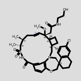 CO[C@@]1(CC(=O)NCCO)/C=C/C[C@H](C)[C@@H](C)S(=O)(=O)NC(=O)c2ccc3c(c2)N(C[C@@H]2CC[C@H]21)C[C@@]1(CCCc2cc(Cl)ccc21)CO3